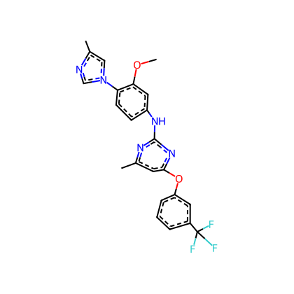 COc1cc(Nc2nc(C)cc(Oc3cccc(C(F)(F)F)c3)n2)ccc1-n1cnc(C)c1